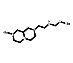 CC(C)(C)OCNCCN1CCN2CCN(C(C)(C)C)CC2C1